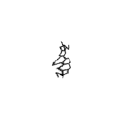 Cc1cc2cc3ccc4c5cc6c(cc(C)n6C)cc5ccc4c3cc2n1C